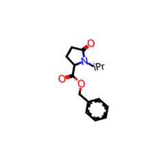 CC(C)N1C(=O)CCC1C(=O)OCc1ccccc1